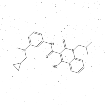 CC(C)Cn1c(=O)c(C(=O)Nc2cccc(N(C)CC3CC3)c2)c(O)c2ccccc21